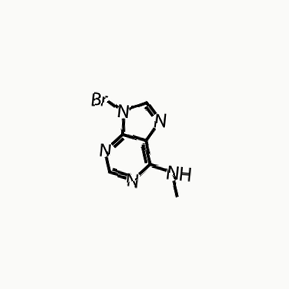 CNc1ncnc2c1ncn2Br